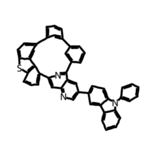 c1ccc(-n2c3ccccc3c3cc(-c4cnc5cc6nc(c7cccc(c7)c7cccc(c7)c7ccc8sc9cccc6c9c8c7)c5c4)ccc32)cc1